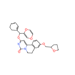 O=c1nc(OC(C2=CC=CCC2)C2=COC=CO2)cc2n1CCc1cc(OCC3CCCO3)ccc1-2